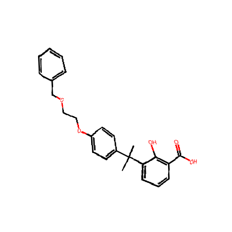 CC(C)(c1ccc(OCCOCc2ccccc2)cc1)c1cccc(C(=O)O)c1O